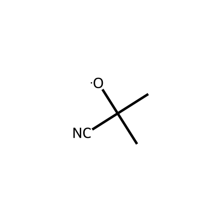 CC(C)([O])C#N